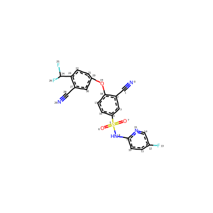 N#Cc1cc(S(=O)(=O)Nc2ccc(F)cn2)ccc1Oc1ccc(C(F)F)c(C#N)c1